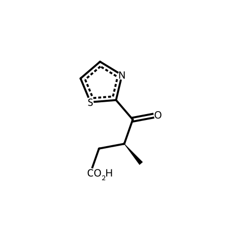 C[C@@H](CC(=O)O)C(=O)c1nccs1